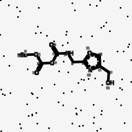 CCCCOC(=O)OC(=O)NCc1nc(CO)co1